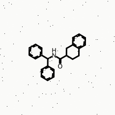 O=C(NC(c1ccccc1)c1ccccc1)C1CCc2ccccc2C1